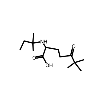 CCC(C)(C)NC(CCC(=O)C(C)(C)C)C(=O)O